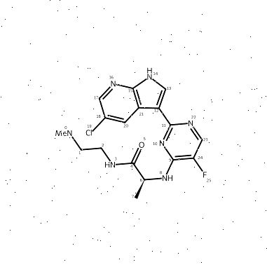 CNCCNC(=O)[C@H](C)Nc1nc(-c2c[nH]c3ncc(Cl)cc23)ncc1F